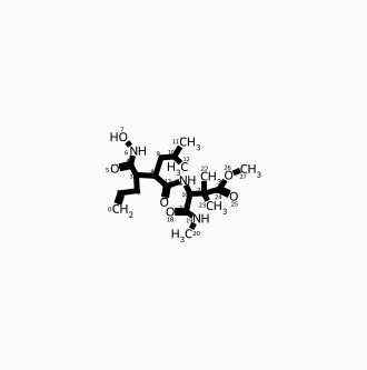 C=CCC(C(=O)NO)C(CC(C)C)C(=O)NC(C(=O)NC)C(C)(C)C(=O)OC